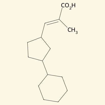 CC(=CC1CCC(C2CCCCC2)C1)C(=O)O